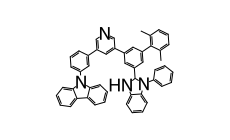 Cc1cccc(C)c1-c1cc(-c2cncc(-c3cccc(-n4c5ccccc5c5ccccc54)c3)c2)cc(C2Nc3ccccc3N2c2ccccc2)c1